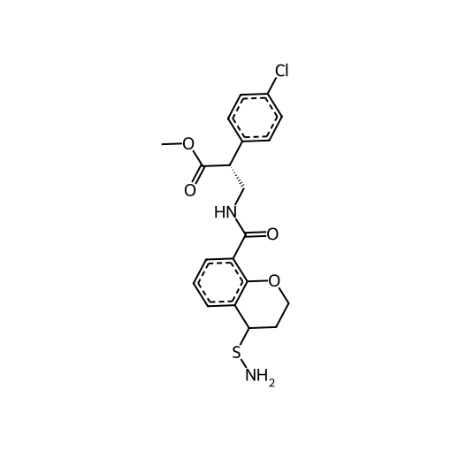 COC(=O)[C@@H](CNC(=O)c1cccc2c1OCCC2SN)c1ccc(Cl)cc1